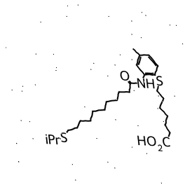 Cc1ccc(SCCCCCCC(=O)O)c(NC(=O)CCCCCCCCCCSC(C)C)c1